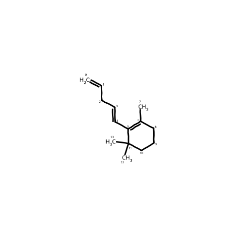 C=CCC=CC1=C(C)CCCC1(C)C